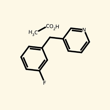 CC(=O)O.Fc1cccc(Cc2cccnc2)c1